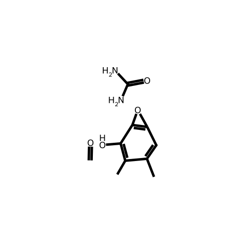 C=O.Cc1cc2c(c(O)c1C)O2.NC(N)=O